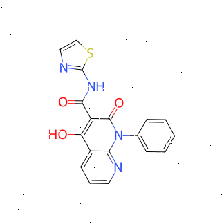 O=C(Nc1nccs1)c1c(O)c2cccnc2n(-c2ccccc2)c1=O